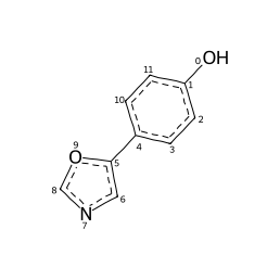 Oc1ccc(-c2cnco2)cc1